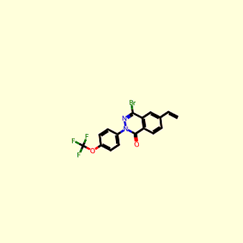 C=Cc1ccc2c(=O)n(-c3ccc(OC(F)(F)F)cc3)nc(Br)c2c1